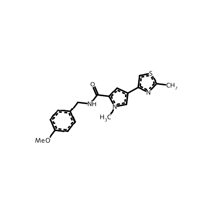 COc1ccc(CNC(=O)c2cc(-c3csc(C)n3)cn2C)cc1